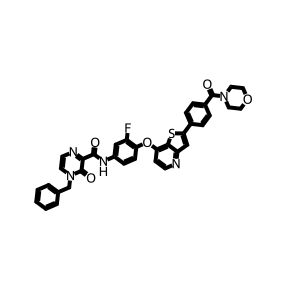 O=C(Nc1ccc(Oc2ccnc3cc(-c4ccc(C(=O)N5CCOCC5)cc4)sc23)c(F)c1)c1nccn(Cc2ccccc2)c1=O